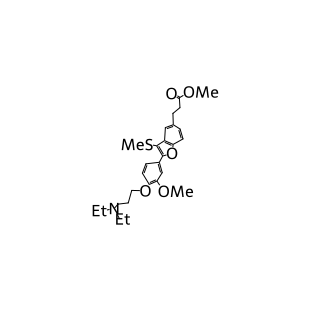 CCN(CC)CCCOc1ccc(-c2oc3ccc(CCC(=O)OC)cc3c2SC)cc1OC